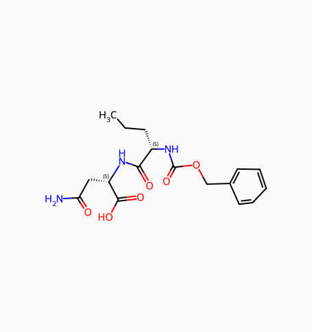 CCC[C@H](NC(=O)OCc1ccccc1)C(=O)N[C@@H](CC(N)=O)C(=O)O